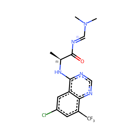 C[C@H](Nc1ncnc2c(C(F)(F)F)cc(Cl)cc12)C(=O)/N=C/N(C)C